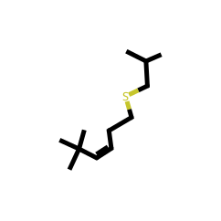 CC(C)CSCC/C=C\C(C)(C)C